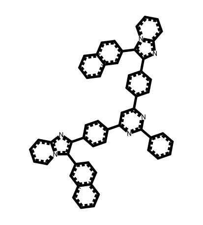 c1ccc(-c2nc(-c3ccc(-c4nc5ccccn5c4-c4ccc5ccccc5c4)cc3)cc(-c3ccc(-c4nc5ccccn5c4-c4ccc5ccccc5c4)cc3)n2)cc1